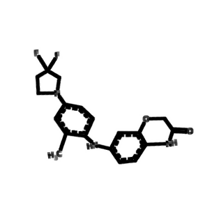 Cc1cc(N2CCC(F)(F)C2)ccc1Nc1ccc2c(c1)OCC(=O)N2